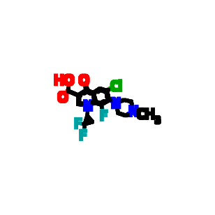 CN1CCN(c2c(Cl)cc3c(=O)c(C(=O)O)cn(C4CC4(F)F)c3c2F)CC1